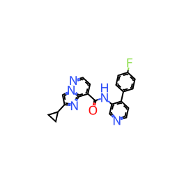 O=C(Nc1cnccc1-c1ccc(F)cc1)c1ccnn2cc(C3CC3)nc12